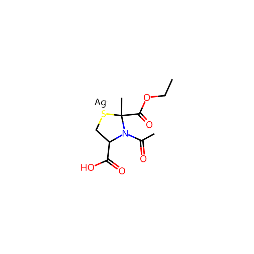 CCOC(=O)C1(C)SCC(C(=O)O)N1C(C)=O.[Ag]